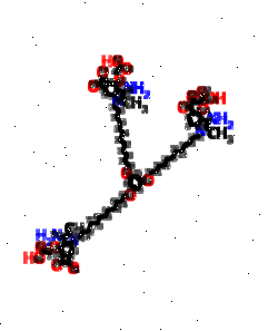 Cc1c(N)c2c3c(ccc2n1CCCCCCCCCCCCOc1cc(OCCCCCCCCCCCCn2c(C)c(N)c4c(OCC(=O)O)c5c(=O)c(=O)c5cc42)cc(OCCCCCCCCCCCCn2c(C)c(N)c4c(OCC(=O)O)c5c(=O)c(=O)c5cc42)c1)C(=O)C(=O)C(C(=O)O)O3